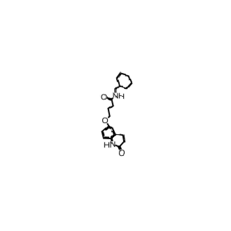 O=C(CCCOc1ccc2c(c1)CCC(=O)N2)NCC1CCCCC1